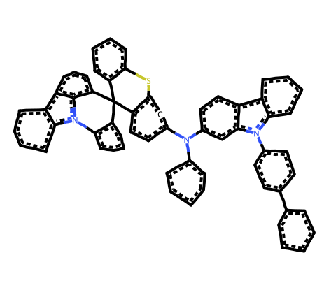 c1ccc(-c2ccc(-n3c4ccccc4c4ccc(N(c5ccccc5)c5ccc6c(c5)Sc5ccccc5C65c6ccccc6-n6c7ccccc7c7cccc5c76)cc43)cc2)cc1